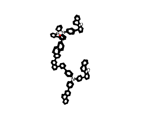 c1cc(-c2ccc(N(c3ccc(-c4ccc5c(ccc6ccccc65)c4)cc3)c3ccc(-c4cccc5oc6c7ccccc7ccc6c45)cc3)cc2)cc(-c2cccc3ccc(-c4ccc5c(ccc6cc(-c7ccc(N(c8ccc(-c9cccc%10oc%11c%12ccccc%12ccc%11c9%10)cc8)c8ccccc8-n8c9ccccc9c9ccccc98)cc7)ccc65)c4)cc23)c1